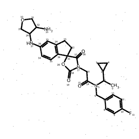 CC(C1CC1)N(Cc1ccc(F)cc1)C(=O)CN1C(=O)OC2(CCc3cc(NC4COCC4N)ccc32)C1=O